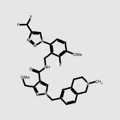 COCc1nn(Cc2ccc3c(c2)CCN(C)C3)cc1C(=O)NCc1c(-n2cc(C(F)F)nn2)ccc(OC)c1F